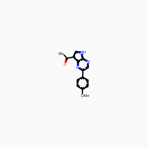 COc1ccc(-c2cnc3[nH]cc(C(=O)C(C)(C)C)c3n2)cc1